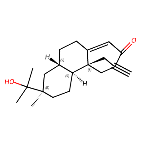 C#CC[C@]12CCC(=O)C=C1CC[C@H]1C[C@](C)(C(C)(C)O)CC[C@@H]12